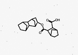 O=C(O)C1C2CCC(C2)C1C(=O)OC1CC2CC1C1C3CCC(C3)C21